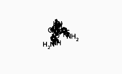 C=CCN(C(=O)NC)N1CC(=O)N2[C@@H](Cc3ccc(NN)c(C=C)c3)C(=O)N(Cc3cccc4sc(N)nc34)C[C@@H]21